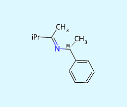 CC(=N[C@H](C)c1ccccc1)C(C)C